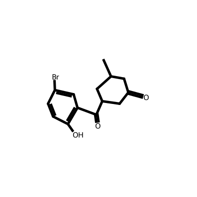 CC1CC(=O)CC(C(=O)c2cc(Br)ccc2O)C1